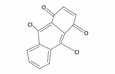 O=C1C=CC(=O)c2c1c(Cl)c1ccccc1c2Cl